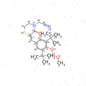 COCOc1c(C(C)(C)C)cc(/C=C2/SCCN(CC#N)C2=O)cc1C(C)(C)C